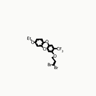 CCOc1ccc(Oc2ccc(OCC=C(Br)Br)c(C(F)(F)F)c2)c(Cl)c1